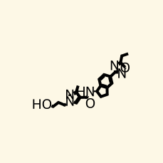 CCc1nc(-c2ccc3c(c2)CC[C@H]3NC(=O)c2cn(CCCO)nc2C)no1